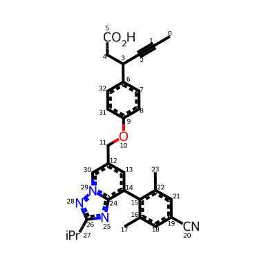 CC#CC(CC(=O)O)c1ccc(OCc2cc(-c3c(C)cc(C#N)cc3C)c3nc(C(C)C)nn3c2)cc1